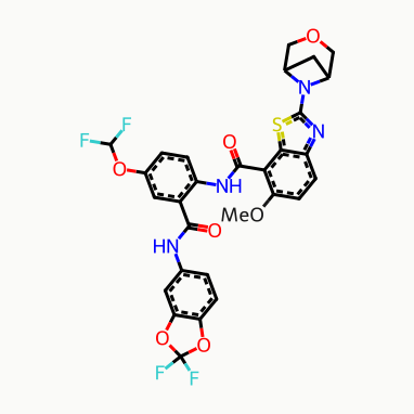 COc1ccc2nc(N3C4COCC3C4)sc2c1C(=O)Nc1ccc(OC(F)F)cc1C(=O)Nc1ccc2c(c1)OC(F)(F)O2